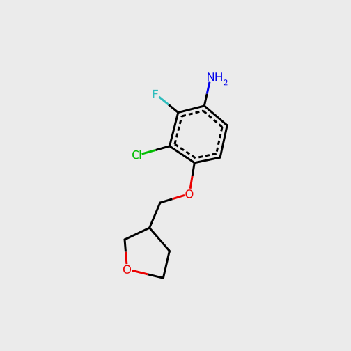 Nc1ccc(OCC2CCOC2)c(Cl)c1F